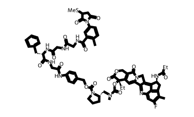 CCC(=O)N[C@H]1Cc2c(C)c(F)cc3nc4c(c1c23)Cn1c-4cc2c(c1=O)COC(=O)[C@@]2(CC)OC(=O)N(C)C[C@@H]1CCCN1C(=O)OCc1ccc(NC(=O)CNC(=O)[C@H](Cc2ccccc2)NC(=O)CNC(=O)CNC(=O)c2cc(N3C(=O)CC(SC)C3=O)ccc2C)cc1